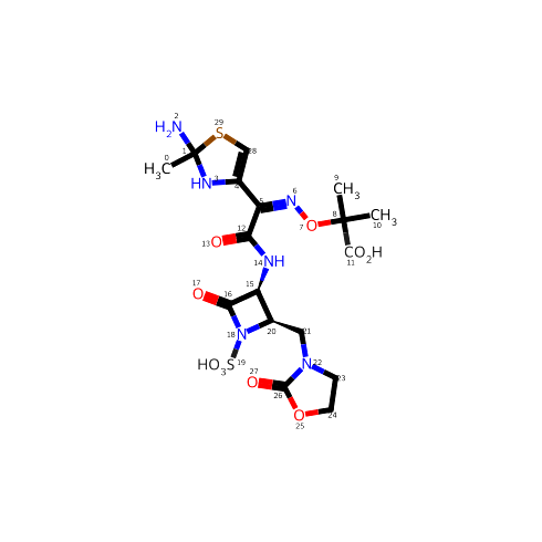 CC1(N)NC(/C(=N/OC(C)(C)C(=O)O)C(=O)N[C@@H]2C(=O)N(S(=O)(=O)O)[C@@H]2CN2CCOC2=O)=CS1